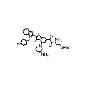 CSCCC(N)C(=O)C(=O)c1cc(N2CCC[C@@H](N)C2)n2c(C)c(-c3cc4ccccc4n3Cc3ccc(F)cc3)nc2c1